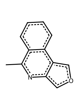 Cc1nc2cocc2c2ccccc12